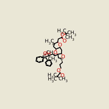 C[C@H](CC1CCC2O[C@@H](CCCOC(=O)C(C)(C)C)CC2(CCC(C)(C)[Si](O)(c2ccccc2)c2ccccc2)O1)C(=O)CC(=O)OC(C)(C)C